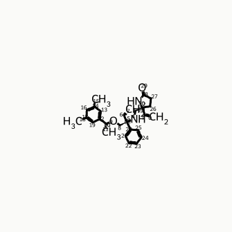 C=C[C@@]1(CN[C@](C=C)(CO[C@H](C)c2cc(C)cc(C)c2)c2ccccc2)CCC(=O)N1